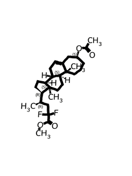 COC(=O)C(F)(F)C[C@@H](C)[C@H]1CC[C@H]2[C@@H]3CC=C4C[C@@H](OC(C)=O)CCC[C@]4(C)[C@H]3CC[C@]12C